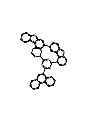 C1=CCC(c2nc(-c3cc4ccccc4c4ccccc34)nc(-c3cccc4oc5ccc(-c6ccc7c(c6)oc6ccccc67)cc5c34)n2)C=C1